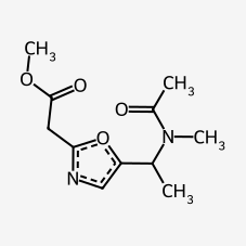 COC(=O)Cc1ncc(C(C)N(C)C(C)=O)o1